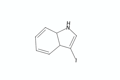 IC1=CNC2C=CC=CC12